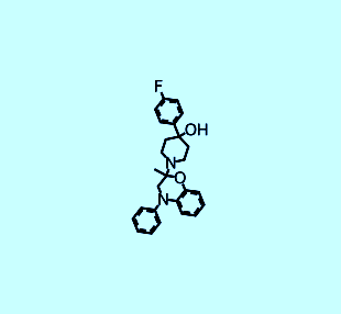 CC1(N2CCC(O)(c3ccc(F)cc3)CC2)CN(c2ccccc2)c2ccccc2O1